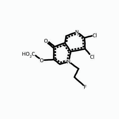 O=C(O)Oc1cn(CCF)c2c(Cl)c(Cl)ncc2c1=O